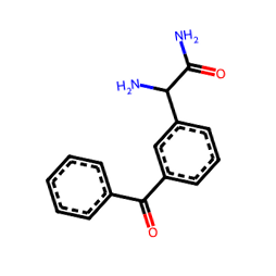 NC(=O)C(N)c1cccc(C(=O)c2ccccc2)c1